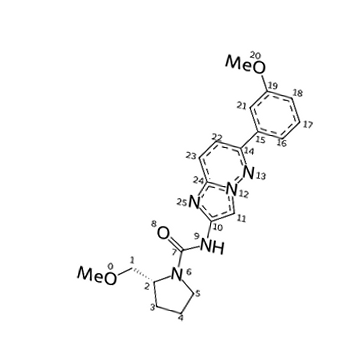 COC[C@H]1CCCN1C(=O)Nc1cn2nc(-c3cccc(OC)c3)ccc2n1